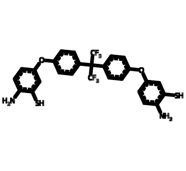 Nc1ccc(Oc2ccc(C(c3ccc(Oc4ccc(N)c(S)c4)cc3)(C(F)(F)F)C(F)(F)F)cc2)cc1S